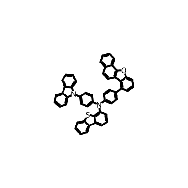 c1ccc2c(c1)ccc1c2oc2cccc(-c3ccc(N(c4ccc(-n5c6ccccc6c6ccccc65)cc4)c4cccc5c4sc4ccccc45)cc3)c21